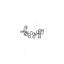 O=C(CN1Cc2ccc(-c3nc(NC4CCOCC4)ncc3Cl)cc2C1=O)NC1(CO)CCCC1